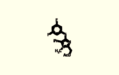 CC(=O)OCc1nc(Sc2cc(F)cc(F)c2)c(C(C)C)n1C